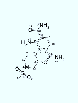 CS(=O)(=O)N1CCC(c2c(C(N)=O)ccc(C(N)=O)c2N)CC1